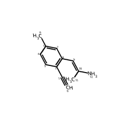 C#Cc1ccc(C)cc1/C=C(\C)N